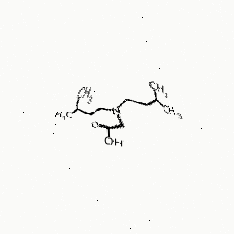 CC(C)CCN(CCC(C)C)CC(=O)O